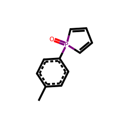 Cc1ccc(P2(=O)C=CC=C2)cc1